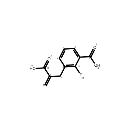 C=C(Cc1cccc(C(=O)O)c1F)C(=O)O